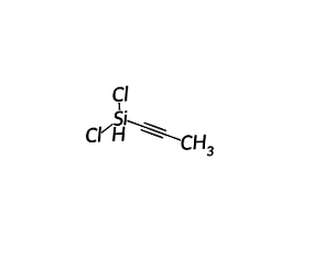 CC#C[SiH](Cl)Cl